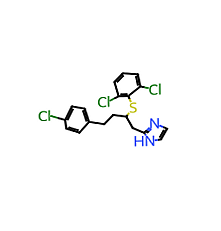 Clc1ccc(CCC(Cc2ncc[nH]2)Sc2c(Cl)cccc2Cl)cc1